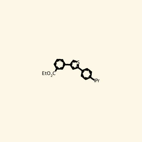 CCOC(=O)c1cccc(-c2csc(-c3ccc(C(C)C)cc3)c2)c1